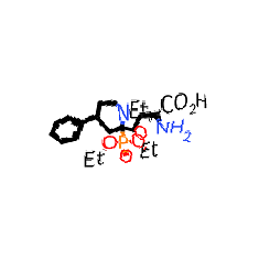 CCOP(=O)(OCC)C1(C(=O)C[C@@H](N)C(=O)O)CC(c2ccccc2)CCN1CC